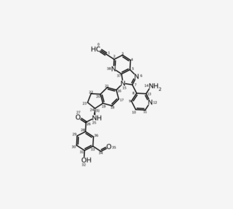 C#Cc1ccc2nc(-c3cccnc3N)n(-c3ccc4c(c3)CC[C@@H]4NC(=O)c3ccc(O)c(C=O)c3)c2n1